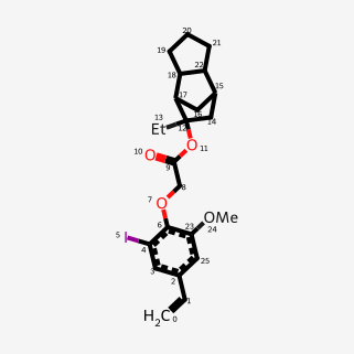 C=Cc1cc(I)c(OCC(=O)OC2(CC)CC3CC2C2CCCC32)c(OC)c1